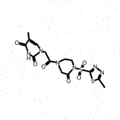 Cc1nnc(S(=O)(=O)N2CCN(C(=O)Cn3cc(C)c(=O)[nH]c3=O)CC2=O)s1